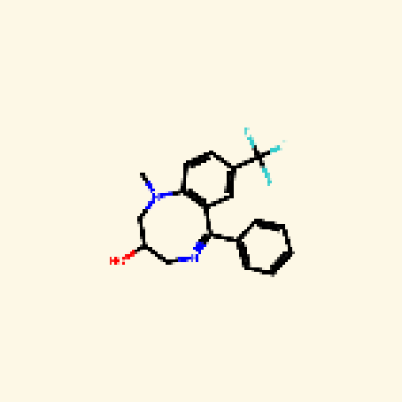 CN1CC(O)CN=C(c2ccccc2)c2cc(C(F)(F)F)ccc21